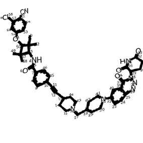 CC1(C)C(NC(=O)c2ccc(C#CC3CCN(CC4CCN(c5ccc6nnn(C7CCC(=O)NC7=O)c(=O)c6c5)CC4)CC3)cc2)C(C)(C)C1Oc1ccc(C#N)c(Cl)c1